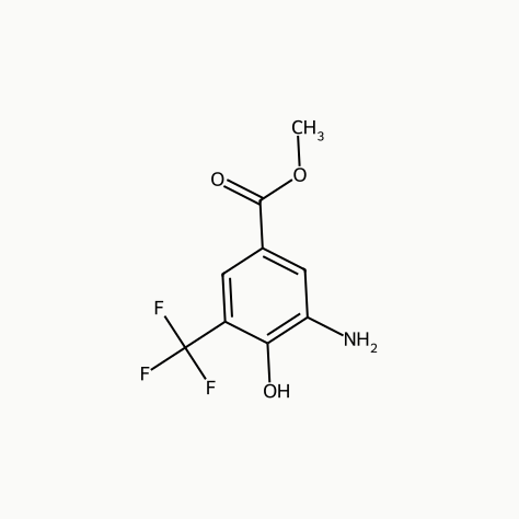 COC(=O)c1cc(N)c(O)c(C(F)(F)F)c1